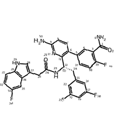 NC(=O)c1cc(-c2ccc(N)nc2[C@H](Cc2cc(F)cc(F)c2)NC(=O)Cc2c[nH]c3ccc(F)cc23)ccc1F